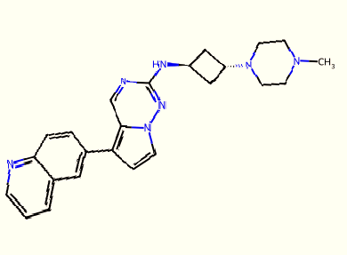 CN1CCN([C@H]2C[C@H](Nc3ncc4c(-c5ccc6ncccc6c5)ccn4n3)C2)CC1